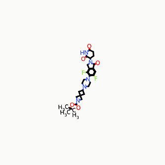 CC(C)(C)OC(=O)N1CC2(CC(N3CCN(c4c(F)cc5c(c4F)CN(C4CCC(=O)NC4=O)C5=O)CC3)C2)C1